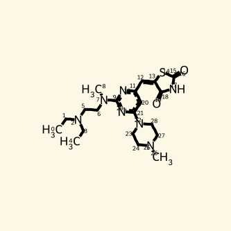 CCN(CC)CCN(C)c1nc(C=C2SC(=O)NC2=O)cc(N2CCN(C)CC2)n1